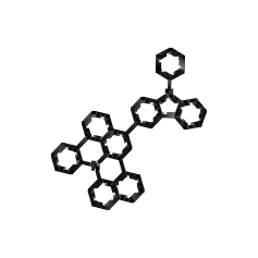 c1ccc(-n2c3ccccc3c3cc(-c4cc5c6c7c(cccc47)-c4ccccc4N6c4cccc6cccc-5c46)ccc32)cc1